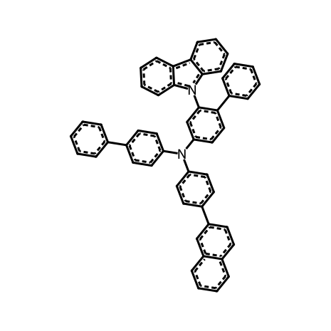 c1ccc(-c2ccc(N(c3ccc(-c4ccc5ccccc5c4)cc3)c3ccc(-c4ccccc4)c(-n4c5ccccc5c5ccccc54)c3)cc2)cc1